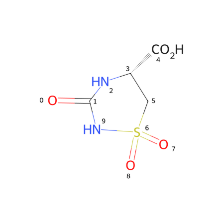 O=C1N[C@H](C(=O)O)CS(=O)(=O)N1